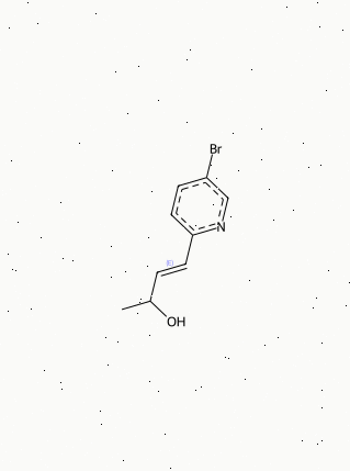 CC(O)/C=C/c1ccc(Br)cn1